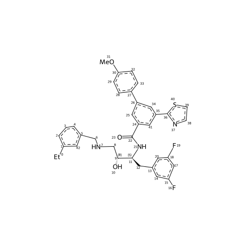 CCc1cccc(CNC[C@@H](O)[C@H](Cc2cc(F)cc(F)c2)NC(=O)c2cc(-c3ccc(OC)cc3)cc(-c3nccs3)c2)c1